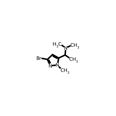 CC(c1cc(Br)nn1C)N(C)C